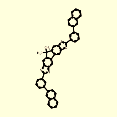 CC1(C)c2cc3sc(-c4cccc(-c5ccc6ccccc6c5)c4)nc3cc2-c2cc3nc(-c4cccc(-c5ccc6ccccc6c5)c4)sc3cc21